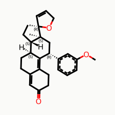 COc1cccc([C@H]2C[C@@]3(C)[C@@H](CC[C@@]34C=CCO4)[C@@H]3CCC4=CC(=O)CCC4=C32)c1